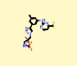 Cc1cc(Nc2nccc(C(F)F)n2)cc(-c2cn(C[C@@]3(C)CNC(=O)O3)nn2)c1